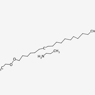 CCCCCCCCCCCCCCCCCCOOCC.CCCN